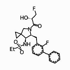 CCS(=O)(=O)N[C@@H]1[C@H](Cc2cccc(-c3ccccc3)c2F)N(C(=O)[C@H](O)CF)CC12CC2